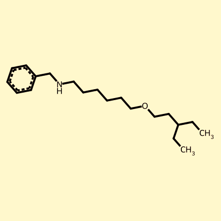 CCC(CC)CCOCCCCCCNCc1ccccc1